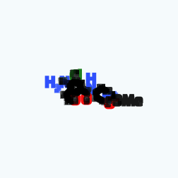 COC[N+]1([O-])CCC(NC(=O)c2cc(Cl)c(N)c3c2OCC3)CC1